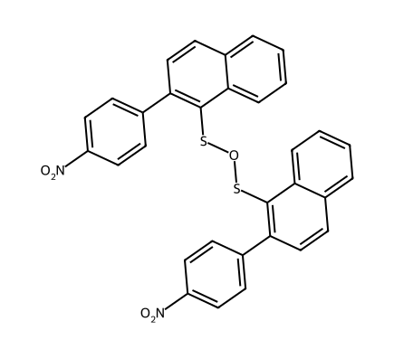 O=[N+]([O-])c1ccc(-c2ccc3ccccc3c2SOSc2c(-c3ccc([N+](=O)[O-])cc3)ccc3ccccc23)cc1